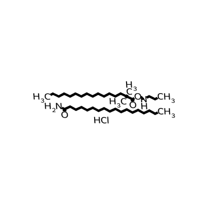 CCCCCCCCCCCCCCC(C)(C)C(=O)ONCCC.CCCCCCCCCCCCCCCCCC(N)=O.Cl